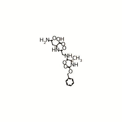 C[C@H](NC(=O)OCc1ccccc1)C(=O)NCC(=O)N[C@@H](CC(N)=O)C(=O)O